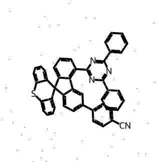 N#Cc1ccc(-c2ccc3c(c2)-c2c(-c4nc(-c5ccccc5)nc(-c5ccccc5)n4)cccc2C32c3ccccc3Sc3ccccc32)cc1